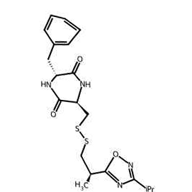 CC(C)c1noc([C@@H](C)CSSC[C@@H]2NC(=O)[C@@H](Cc3ccccc3)NC2=O)n1